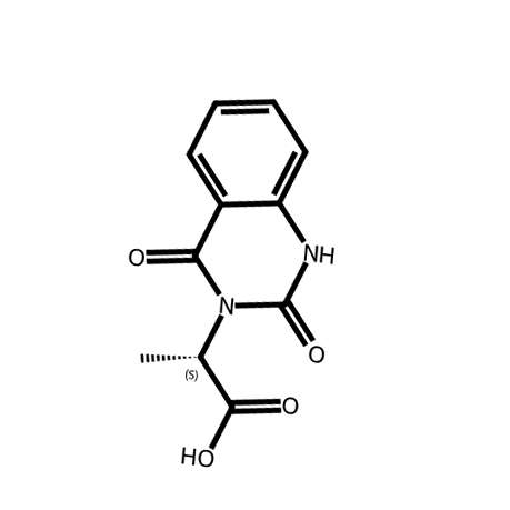 C[C@@H](C(=O)O)n1c(=O)[nH]c2ccccc2c1=O